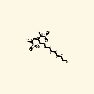 CCCCCCCCCCC(CC(C)=S(=O)=O)C(C)=S(=O)=O